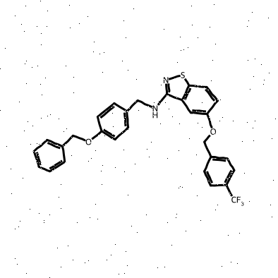 FC(F)(F)c1ccc(COc2ccc3snc(NCc4ccc(OCc5ccccc5)cc4)c3c2)cc1